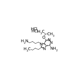 CCCCc1nc2c(N)nnc(OC(C)C)c2n1CCCCN.Cl.Cl